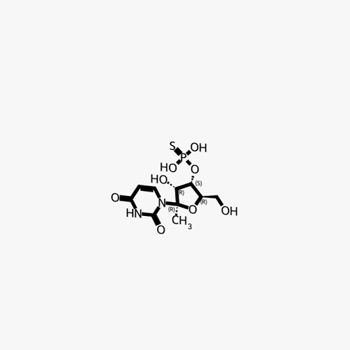 C[C@@]1(n2ccc(=O)[nH]c2=O)O[C@H](CO)[C@@H](OP(O)(O)=S)[C@H]1O